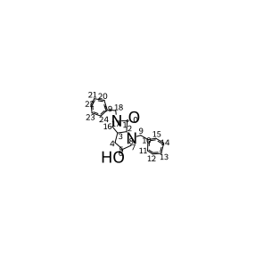 O=C1C2C(CC(O)CN2Cc2ccccc2)CN1Cc1ccccc1